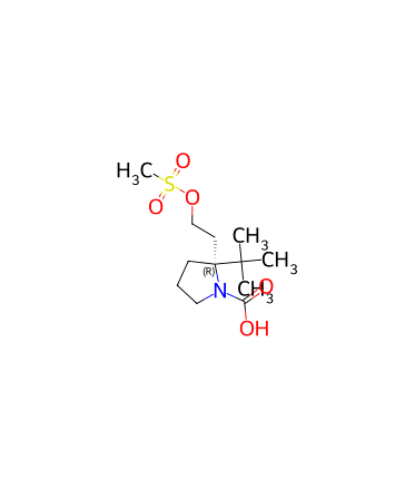 CC(C)(C)[C@]1(CCOS(C)(=O)=O)CCCN1C(=O)O